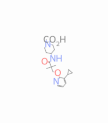 C[C@@H]1C[C@H](NC(=O)C(C)(C)COc2ncccc2C2CC2)CCN1C(=O)O